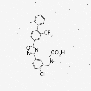 Cc1ccccc1-c1ccc(-c2nc(-c3ccc(Cl)c(CN(C)CC(=O)O)c3)no2)cc1C(F)(F)F